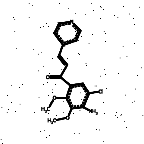 COc1c(C(=O)C=Cc2ccncc2)cc(Cl)c(N)c1OC